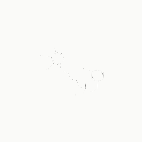 CCCc1cccc2c1OC(OCCCOc1ccc(C(C)=O)c(OC)c1CCC)(C(=O)O)CC2